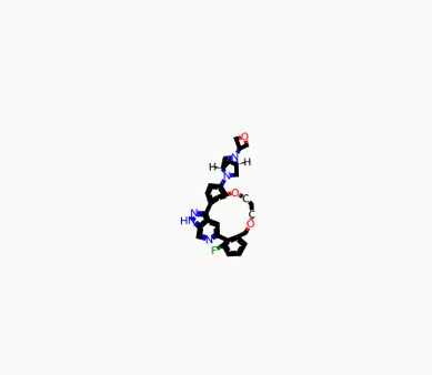 Fc1cccc2c1-c1cc3c(n[nH]c3cn1)-c1ccc(N3C[C@H]4C[C@@H]3CN4C3COC3)c(c1)OCCCOC2